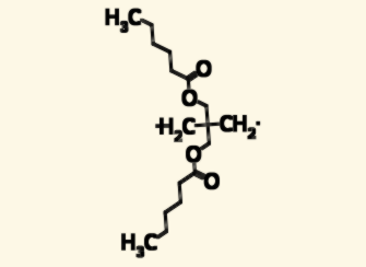 [CH2]C([CH2])(COC(=O)CCCCC)COC(=O)CCCCC